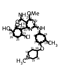 COc1nc(Nc2ccc(OC3CCN(C)CC3)c(C)c2)nc(-c2c(Cl)ccc(O)c2C)c1C(N)=O